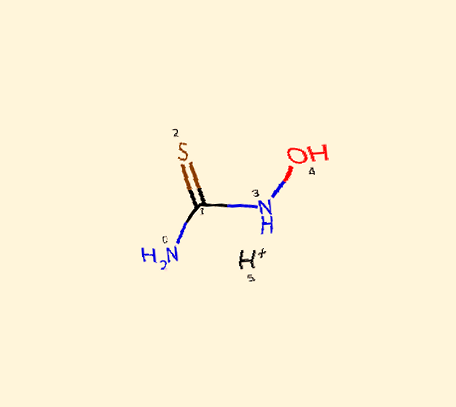 NC(=S)NO.[H+]